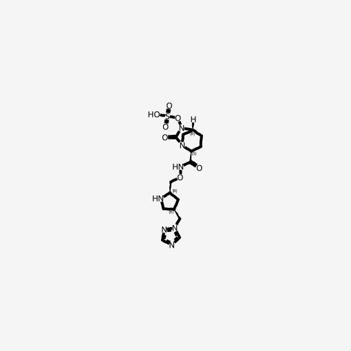 O=C(NOC[C@H]1C[C@@H](Cn2cncn2)CN1)[C@@H]1CC[C@@H]2CN1C(=O)N2OS(=O)(=O)O